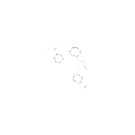 COc1ccc(C2CC(=O)N(c3ccnc(C(N)=O)c3)C2)cc1Oc1ccccc1C(N)=O